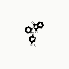 O=C1c2ccccc2C(=O)N1[C@@H]1CCCC[C@H]1Oc1ccc([N+](=O)[O-])cn1